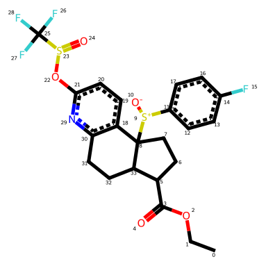 CCOC(=O)C1CCC2([S+]([O-])c3ccc(F)cc3)c3ccc(OS(=O)C(F)(F)F)nc3CCC12